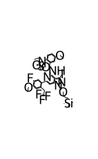 CCN(c1ccc(OC)cc1CNc1nc(-c2cc(F)c(OC)cc2CC(F)(F)F)cc2c1c(I)nn2COCC[Si](C)(C)C)S(C)(=O)=O